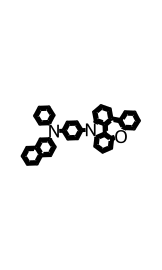 c1ccc(N(c2ccc(-n3c4cccc5oc6ccccc6c6cccc3c6c54)cc2)c2ccc3ccccc3c2)cc1